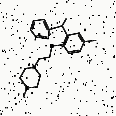 Cc1ccc(OCCN2CCN(C)CC2)c(C(C)c2ccccc2)c1